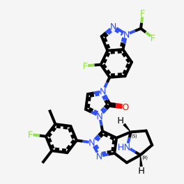 Cc1cc(-n2nc3c(c2-n2ccn(-c4ccc5c(cnn5C(F)F)c4F)c2=O)[C@@H]2CC[C@H](C3)N2)cc(C)c1F